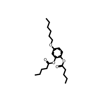 CCCCCCOc1ccc(OC(=O)CCCC)c(OC(=O)CCCC)c1